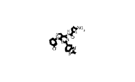 Cc1nc2cc(-c3nc(NC(=O)c4ccc([N+](=O)[O-])s4)c4cnn(-c5cccc(Cl)c5)c4n3)ccc2s1